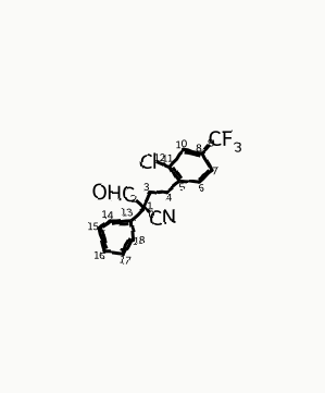 N#CC(C=O)(CCc1ccc(C(F)(F)F)cc1Cl)c1ccccc1